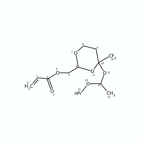 C=CC(=O)OCC1OCCC(OC(C)OCCC)(C(F)(F)F)O1